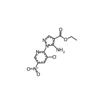 CCOC(=O)c1cnn(-c2ncc([N+](=O)[O-])cc2Cl)c1N